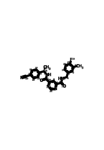 Cc1cc(CNC(=O)c2cc(C(=O)N[C@@H](C)c3ccc(C#N)cc3)ncn2)ccc1F